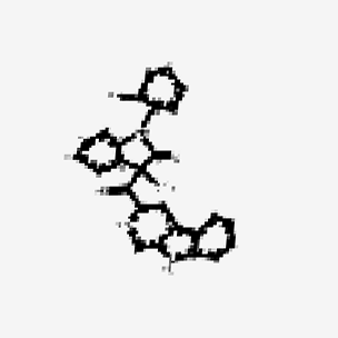 NC1(C(=O)c2cc3c(cn2)[nH]c2ccccc23)C(=O)N(c2ccccc2F)c2ccccc21